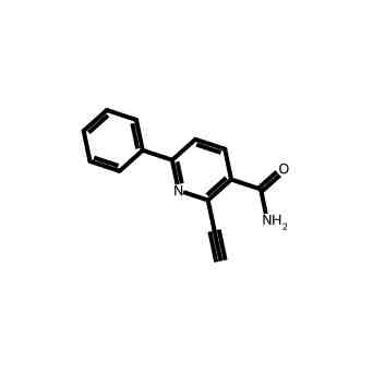 C#Cc1nc(-c2ccccc2)ccc1C(N)=O